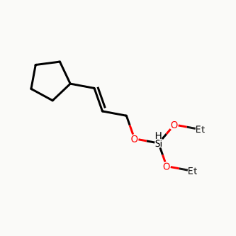 CCO[SiH](OCC)OCC=CC1CCCC1